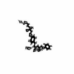 C=CCNC(=O)COc1ccc(CCN(C)CC(O)COc2ccccc2)cc1.Cl